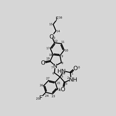 O=C1NC(=O)C(CN2Cc3ccc(OCCF)cc3C2=O)(c2ccc(F)cc2)N1